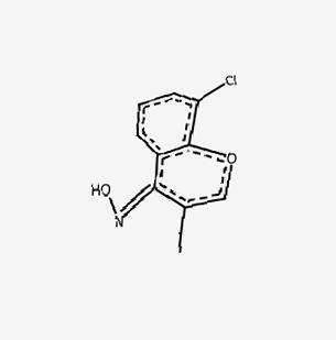 Cc1coc2c(Cl)cccc2c1=NO